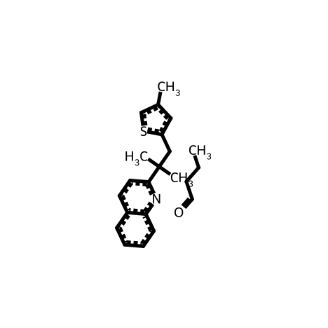 CCCC=O.Cc1csc(CC(C)(C)c2ccc3ccccc3n2)c1